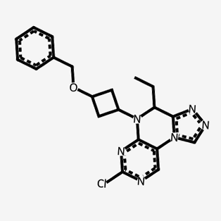 CCC1c2nncn2-c2cnc(Cl)nc2N1C1CC(OCc2ccccc2)C1